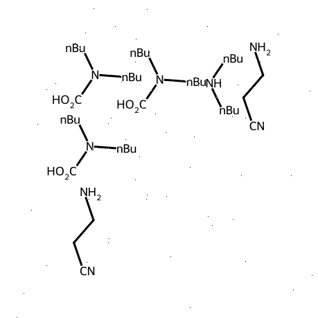 CCCCN(CCCC)C(=O)O.CCCCN(CCCC)C(=O)O.CCCCN(CCCC)C(=O)O.CCCCNCCCC.N#CCCN.N#CCCN